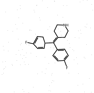 FC1=CCC(C(=C2CCNCC2)c2ccc(F)cc2)C=C1